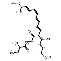 CCCCC[C@H](O)/C=C/C=C\C=C\C=C\[C@@H](C(=O)CNC(=O)[C@H](N)CS)[C@@H](O)CCCC(=O)O